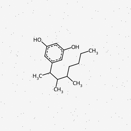 CCCCC(C)C(C)C(C)c1cc(O)cc(O)c1